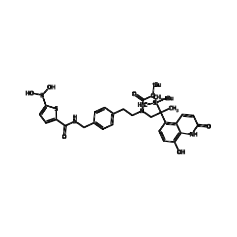 CC(C)(C)OC(=O)N(CCc1ccc(CNC(=O)c2ccc(B(O)O)s2)cc1)CC(C)(c1ccc(O)c2[nH]c(=O)ccc12)[Si](C)(C)C(C)(C)C